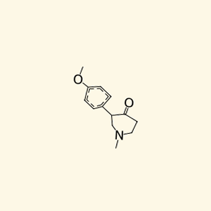 COc1ccc(C2CN(C)CCC2=O)cc1